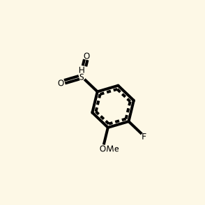 COc1cc([SH](=O)=O)ccc1F